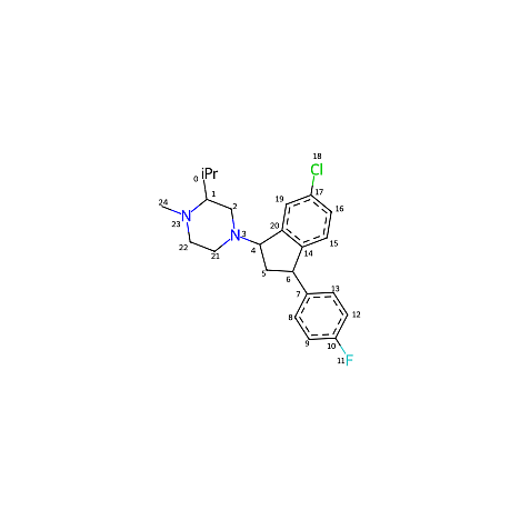 CC(C)C1CN(C2CC(c3ccc(F)cc3)c3ccc(Cl)cc32)CCN1C